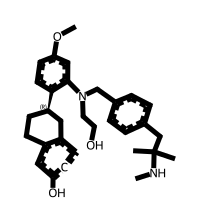 CNC(C)(C)Cc1ccc(CN(CCO)c2cc(OC)ccc2[C@@H]2CCc3cc(O)ccc3C2)cc1